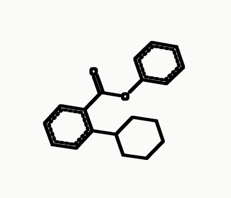 O=C(Oc1ccccc1)c1ccccc1C1CCCCC1